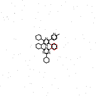 Cc1ccc(-c2nc(C3CCCCC3)c(C3CCCCC3c3nc(-c4ccccc4)nc(C4CCCCC4)n3)nc2C2CCCCC2)cn1